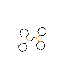 C1CCCC(P(CCP(C2CCCCCC2)C2CCCCCC2)C2CCCCCC2)CC1